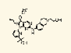 C=CCn1c(=O)c2cnc(Nc3ccc4c(c3)CCN(CCO)C4)nc2n1-c1cccc(C(C)(C)O)n1.[Cl-].[H+]